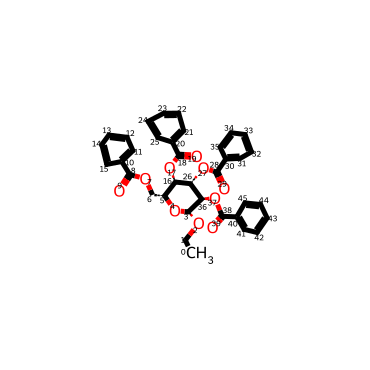 CCO[C@@H]1O[C@H](COC(=O)c2ccccc2)[C@H](OC(=O)c2ccccc2)[C@H](OC(=O)c2ccccc2)[C@H]1OC(=O)c1ccccc1